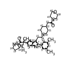 Cc1cc(C)cc(-c2[nH]c3sc(C(C)(C)C(=O)C4C5CCN4CC5)cc3c2CCN2CCC(CC(=O)N3CCOCC3)CC2)c1